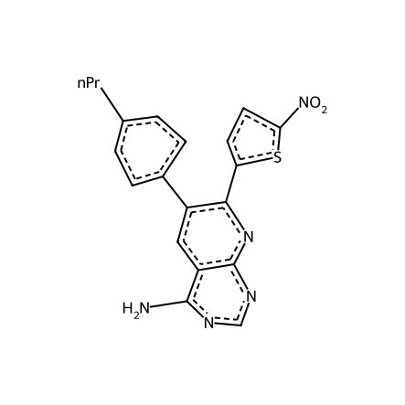 CCCc1ccc(-c2cc3c(N)ncnc3nc2-c2ccc([N+](=O)[O-])s2)cc1